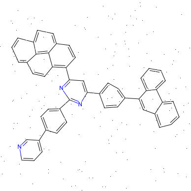 c1cncc(-c2ccc(-c3nc(-c4ccc(-c5cc6ccccc6c6ccccc56)cc4)cc(-c4ccc5ccc6cccc7ccc4c5c67)n3)cc2)c1